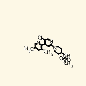 Cc1cnc(-c2cc(N3CCC(NS(C)(=O)=O)CC3)ncc2Cl)c(C)c1